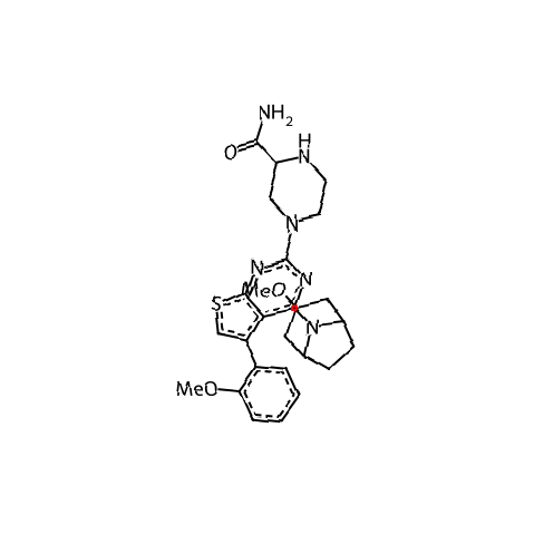 COc1ccccc1-c1csc2nc(N3CCNC(C(N)=O)C3)nc(N3C4CCC3CC(OC)C4)c12